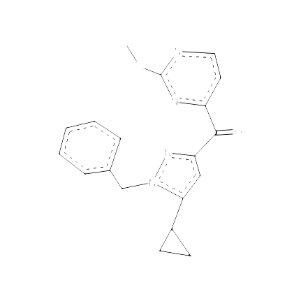 CSc1nccc(C(=O)c2cc(C3CC3)n(Cc3ccccc3)n2)n1